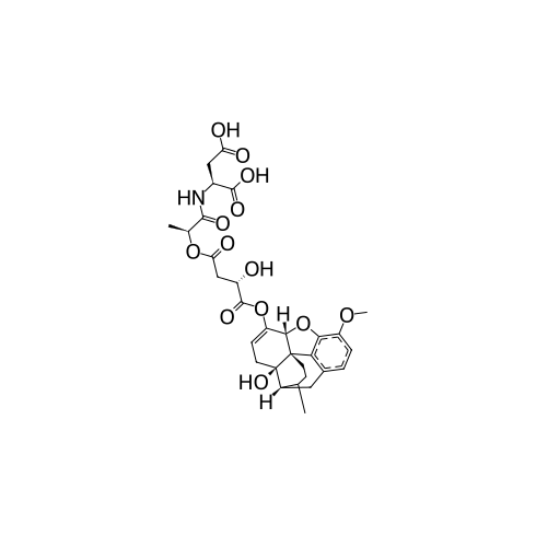 COc1ccc2c3c1O[C@H]1C(OC(=O)[C@@H](O)CC(=O)O[C@@H](C)C(=O)N[C@@H](CC(=O)O)C(=O)O)=CC[C@@]4(O)[C@@H](C2)C(C)CC[C@]314